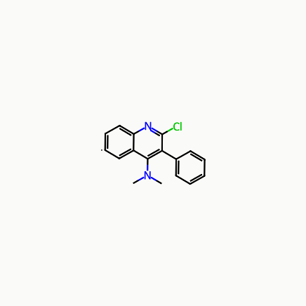 CN(C)c1c(-c2ccccc2)c(Cl)nc2cc[c]cc12